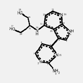 Nc1nccc(-c2c[nH]c3nccc(NC(CO)CO)c23)n1